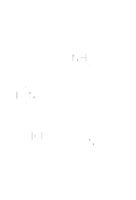 Cl.Nc1ccncc1N